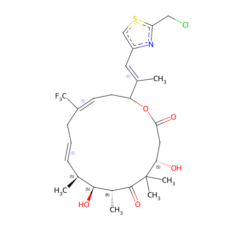 C/C(=C\c1csc(CCl)n1)C1C/C=C(/C(F)(F)F)C/C=C/[C@H](C)[C@H](O)[C@@H](C)C(=O)C(C)(C)[C@@H](O)CC(=O)O1